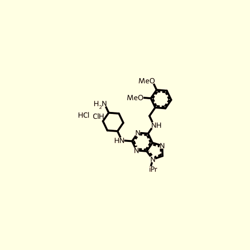 COc1cccc(CNc2nc(NC3CCC(N)CC3)nc3c2ncn3C(C)C)c1OC.Cl.Cl